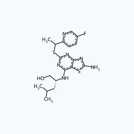 CC(C)C[C@H](CO)Nc1nc(SC(C)c2ccc(F)cn2)nc2nc(N)sc12